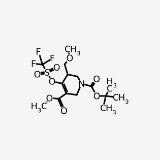 COCC1CN(C(=O)OC(C)(C)C)CC(C(=O)OC)=C1OS(=O)(=O)C(F)(F)F